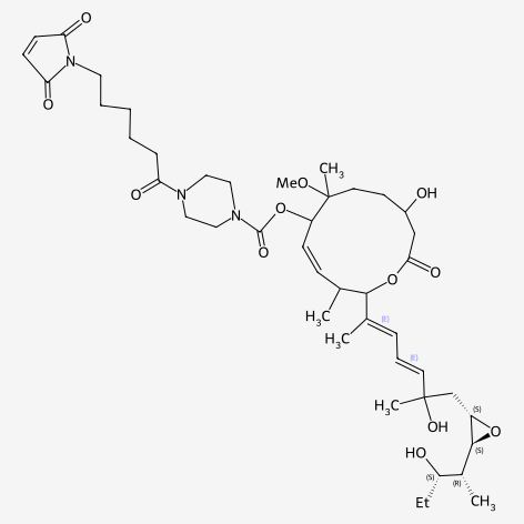 CC[C@H](O)[C@@H](C)[C@@H]1O[C@H]1CC(C)(O)/C=C/C=C(\C)C1OC(=O)CC(O)CCC(C)(OC)C(OC(=O)N2CCN(C(=O)CCCCCN3C(=O)C=CC3=O)CC2)C=CC1C